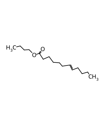 CCCC/C=C/CCCCCC(=O)OCCCC